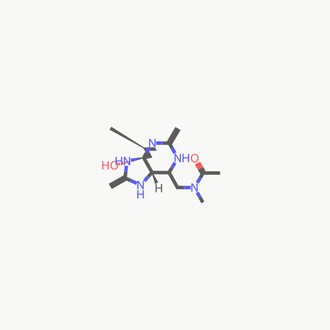 C=C1N[C@H]2C(CN(C)C(C)=O)NC(=C)N3C[C@H](C)[C@H](O)[C@]23N1